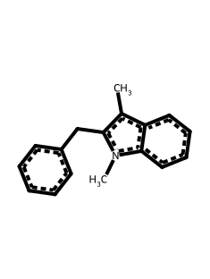 Cc1c(Cc2ccccc2)n(C)c2ccccc12